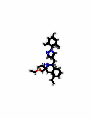 CCOCC1(CC)Cc2c(CC)cccc2C(Cc2cnn(-c3c(C)cc(C)cc3C)c2)N1